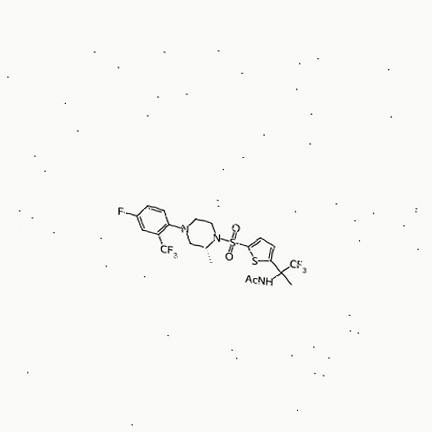 CC(=O)NC(C)(c1ccc(S(=O)(=O)N2CCN(c3ccc(F)cc3C(F)(F)F)C[C@H]2C)s1)C(F)(F)F